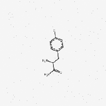 NC(=O)C(N)Cc1ccc(Cl)cc1